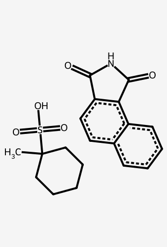 CC1(S(=O)(=O)O)CCCCC1.O=C1NC(=O)c2c1ccc1ccccc21